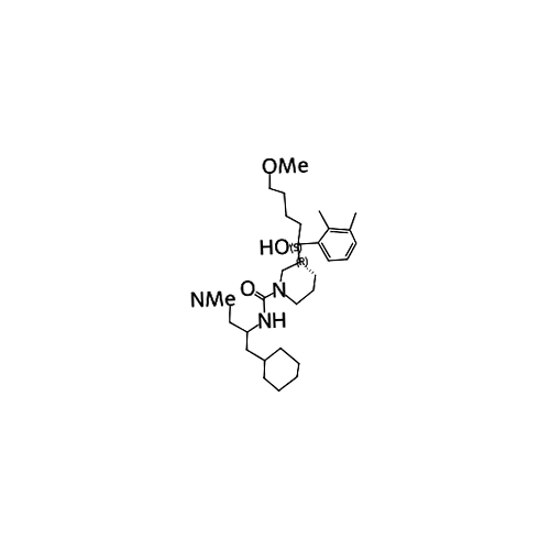 CNCC(CC1CCCCC1)NC(=O)N1CCC[C@@H]([C@@](O)(CCCCOC)c2cccc(C)c2C)C1